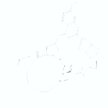 COc1ccc2c(OC3C[C@H]4C(=O)N[C@]5(C(=O)NS(=O)(=O)C6CC6)C[C@H]5/C=C\CCCCC[C@H](NC(=O)OC(C)(C)C)C(=O)N4C3)cc(-c3nc4c(s3)CCC4)nc2c1